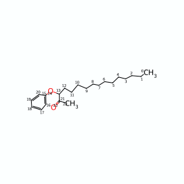 CCCCCCCCCCCCCC(Oc1ccccc1)C(C)=O